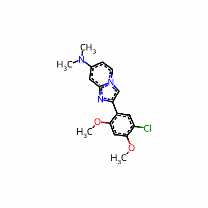 COc1cc(OC)c(-c2cn3ccc(N(C)C)cc3n2)cc1Cl